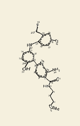 COCCCNC(=O)c1ccc(-c2cc(Nc3ccc(Cl)cc3CF)ccc2O)nc1N